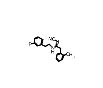 Cc1ccccc1CC(=NC#N)NCCc1cccc(F)c1